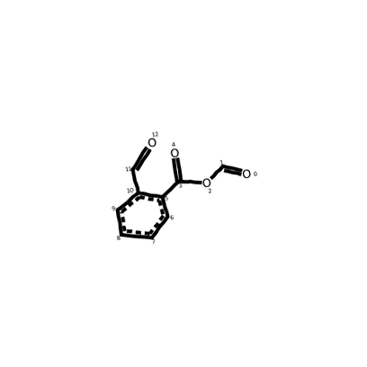 O=COC(=O)c1ccccc1C=O